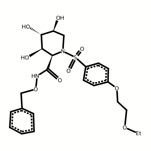 CCOCCOc1ccc(S(=O)(=O)N2C[C@H](O)[C@@H](O)[C@H](O)[C@@H]2C(=O)NOCc2ccccc2)cc1